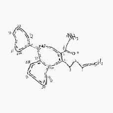 C=CCCc1c(C(N)=O)nc(-c2ccccc2)c2ccccc12